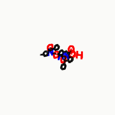 Cc1ccc(N(CCOc2ccc(CC(Nc3ccccc3C(=O)c3ccccc3)C(=O)O)cc2)C(=O)c2ccccc2)cc1